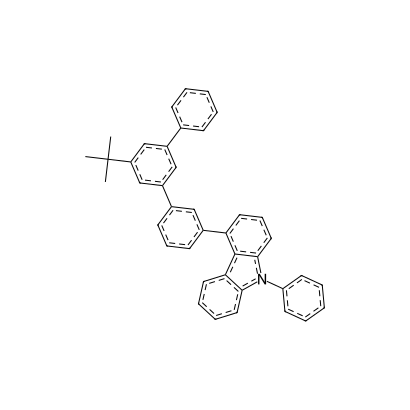 CC(C)(C)c1cc(-c2ccccc2)cc(-c2cccc(-c3cccc4c3c3ccccc3n4-c3ccccc3)c2)c1